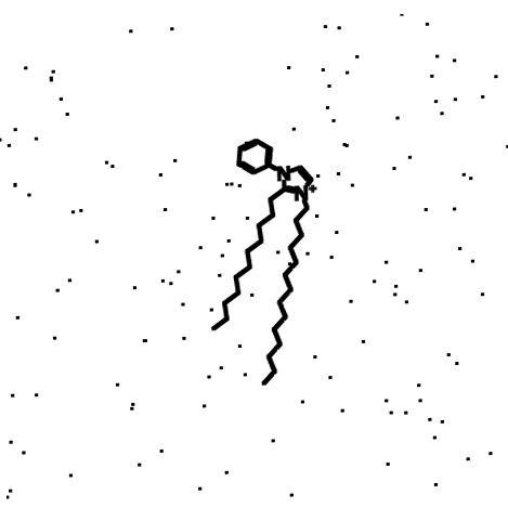 CCCCCCCCCCCCCC[n+]1ccn(-c2ccccc2)c1CCCCCCCCCCC